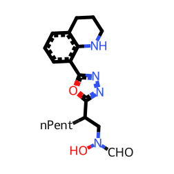 CCCCCC(CN(O)C=O)c1nnc(-c2cccc3c2NCCC3)o1